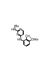 COc1cccc(Nc2ccnc(NC(C)(C)C)n2)c1C